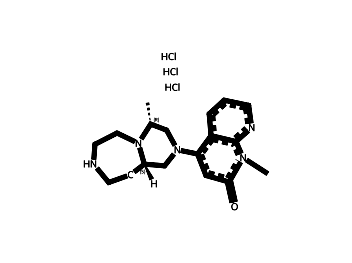 C[C@@H]1CN(c2cc(=O)n(C)c3ncccc23)C[C@@H]2CCNCCN21.Cl.Cl.Cl